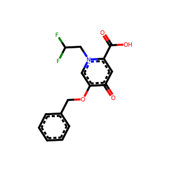 O=C(O)c1cc(=O)c(OCc2ccccc2)cn1CC(F)F